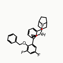 Fc1cc(F)c(OCc2ccccc2)c(C2CC2NC2CC3CCC(C2)N3Cc2ccccc2)c1